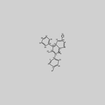 Cc1ccc(-c2nc3ccc(Cl)cc3c(-c3ccccc3)c2C)cc1